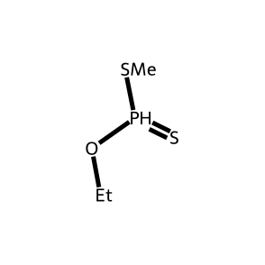 CCO[PH](=S)SC